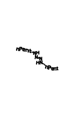 CCCCCNN=NNCCCCC